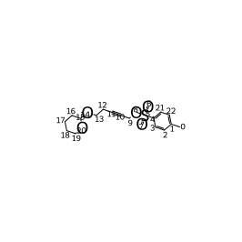 Cc1ccc(S(=O)(=O)OCC#CCCOC2CCCCO2)cc1